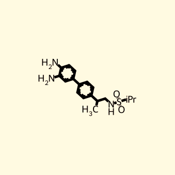 CC(CNS(=O)(=O)C(C)C)c1ccc(-c2ccc(N)c(N)c2)cc1